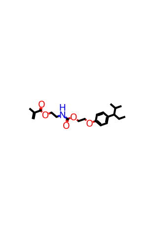 C=C(C)C(=O)OCCNC(=O)OCCOc1ccc(C(CC)C(C)C)cc1